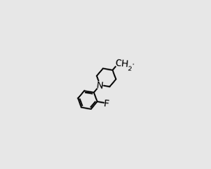 [CH2]C1CCN(c2ccccc2F)CC1